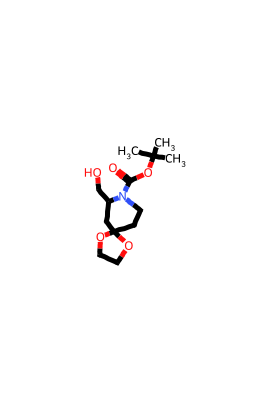 CC(C)(C)OC(=O)N1CCC2(CC1CO)OCCO2